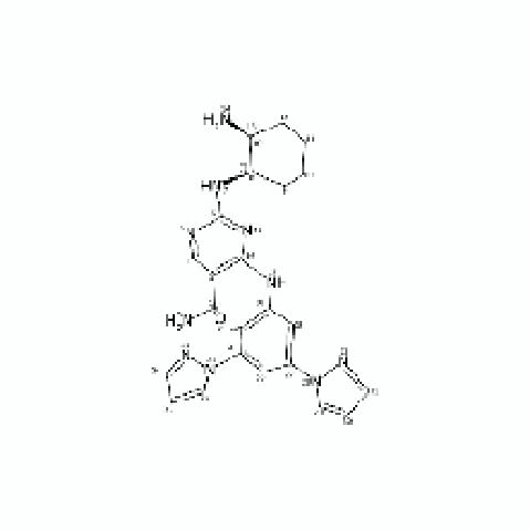 NC(=O)c1cnc(N[C@@H]2CCCC[C@@H]2N)nc1Nc1cc(-n2cccn2)cc(-n2cccn2)c1